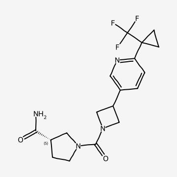 NC(=O)[C@H]1CCN(C(=O)N2CC(c3ccc(C4(C(F)(F)F)CC4)nc3)C2)C1